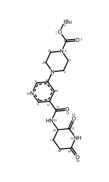 CC(C)(C)OC(=O)N1CCN(c2cncc(C(=O)NC3CCC(=O)NC3=O)c2)CC1